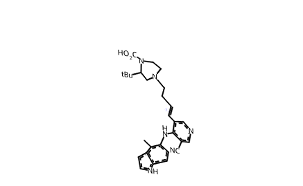 Cc1c(Nc2c(C#N)cncc2/C=C/CCN2CCN(C(=O)O)C(C(C)(C)C)C2)ccc2[nH]ccc12